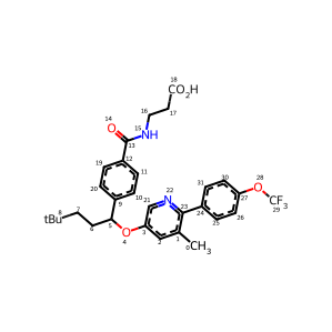 Cc1cc(OC(CCC(C)(C)C)c2ccc(C(=O)NCCC(=O)O)cc2)cnc1-c1ccc(OC(F)(F)F)cc1